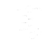 Cc1ccc([N+](=O)[O-])cc1NC(=O)C(=O)NC(C)c1cccc2ccccc12